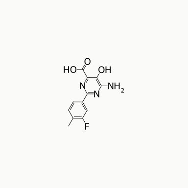 Cc1ccc(-c2nc(N)c(O)c(C(=O)O)n2)cc1F